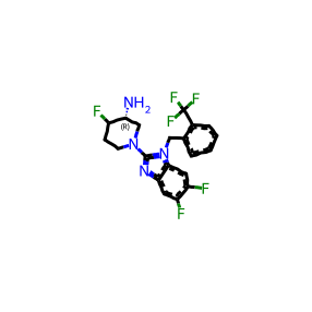 N[C@@H]1CN(c2nc3cc(F)c(F)cc3n2Cc2ccccc2C(F)(F)F)CCC1F